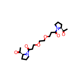 CC(=O)[C@@H]1CCCN1C(=O)CCOCCOCCC(=O)N1CCC[C@H]1C(C)=O